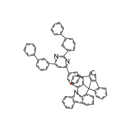 c1ccc(-c2cccc(-c3cc(-c4cccc(-c5cccc6c5C5(c7ccccc7-6)c6ccccc6-n6c7ccccc7c7cccc5c76)c4)nc(-c4cccc(-c5ccccc5)c4)n3)c2)cc1